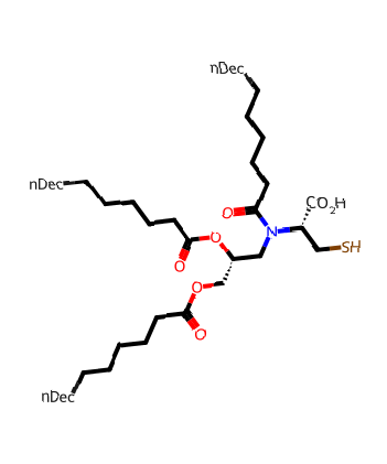 CCCCCCCCCCCCCCCC(=O)OC[C@@H](CN(C(=O)CCCCCCCCCCCCCCC)[C@@H](CS)C(=O)O)OC(=O)CCCCCCCCCCCCCCC